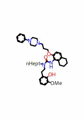 CCCCCCCN(CCc1cccc(OC)c1O)C(=O)Nc1c(OCCCN2CCN(c3ccccc3)CC2)ccc2c1CCCC2